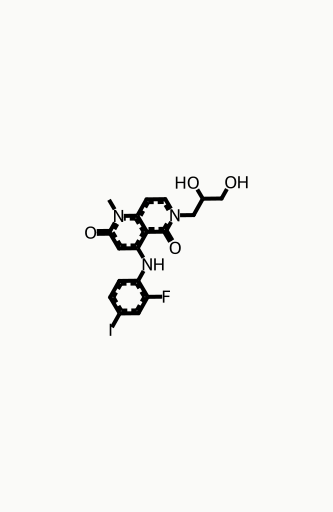 Cn1c(=O)cc(Nc2ccc(I)cc2F)c2c(=O)n(CC(O)CO)ccc21